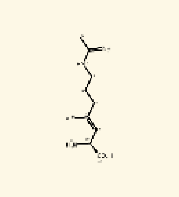 CC(=N)NCCC/C(F)=C/[C@H](N)C(=O)O